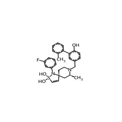 Cc1ccccc1-c1cc(CN2CC[C@]3(C=CS(O)(O)N3c3cccc(F)c3)C[C@@H]2C)ccc1O